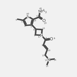 Cc1cc(C2CN(C(=O)C=CCN(C)C)C2)c(C(N)=O)s1